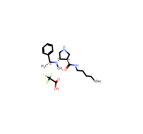 CCCCCCCCCCCCCCNC(=O)[C@@H]1CNC[C@H]1N(C)[C@H](C)c1ccccc1.O=C(O)C(F)(F)F